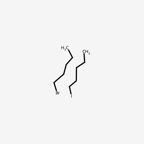 CCCCCBr.CCCCCI